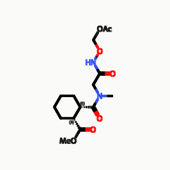 COC(=O)[C@@H]1CCCC[C@@H]1C(=O)N(C)CC(=O)NOCOC(C)=O